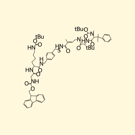 C/C(=C\CN(C)C(=O)C(NC(=O)C(N(C)C(=O)OC(C)(C)C)C(C)(C)c1ccccc1)C(C)(C)C)C(=O)NSCc1ccc(CNC(=O)C(CCCCNC(=O)OC(C)(C)C)NC(=O)CNC(=O)OCC2c3ccccc3-c3ccccc32)cc1